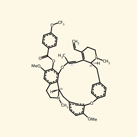 C=CC1=C2/C=C(\C)Oc3c(OC(=O)c4ccc(OC(F)(F)F)cc4)c(OC)cc4c3[C@H](Cc3ccc(OC)c(c3)Oc3ccc(cc3)C[C@@H]2N(C)CC1)N(C)CC4